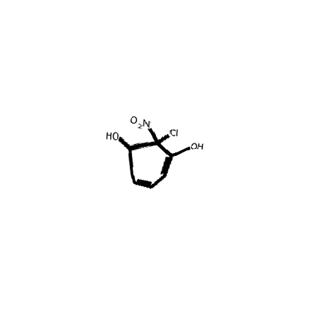 O=[N+]([O-])C1(Cl)C(O)=CC=CC1O